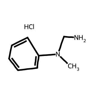 CN(CN)c1ccccc1.Cl